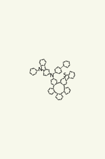 c1ccc(-c2ccc(N(c3ccc4c5ccccc5c5ccccc5c5ccccc5c5cc6c(cc5c4c3)sc3ccccc36)c3ccc4c(c3)c3ccccc3n4-c3ccccc3)cc2)cc1